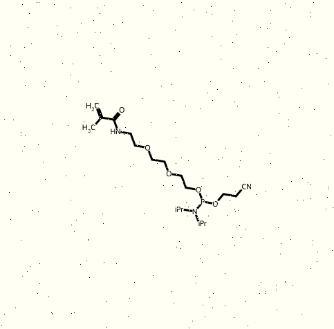 C=C(C)C(=O)NCCOCCOCCOP(OCCC#N)N(C(C)C)C(C)C